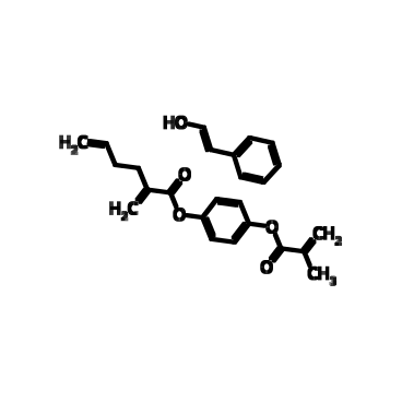 C=CCCC(=C)C(=O)Oc1ccc(OC(=O)C(=C)C)cc1.OC=Cc1ccccc1